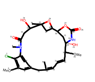 COc1cc2cc(c1Cl)N(C)C(=O)CC(O)C1(C)CC(O1)C1C[C@@](O)(NC(=O)O1)C(OC)/C=C/C=C(\C)C2